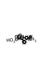 NC1(c2ccc(-c3nc4c(cc3-c3ccccc3)N(CC(=O)O)C(=O)CO4)cc2)CCC1